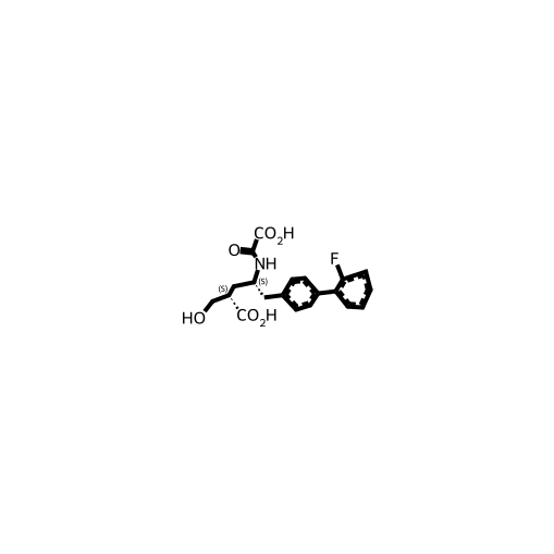 O=C(O)C(=O)N[C@H](Cc1ccc(-c2ccccc2F)cc1)C[C@@H](CO)C(=O)O